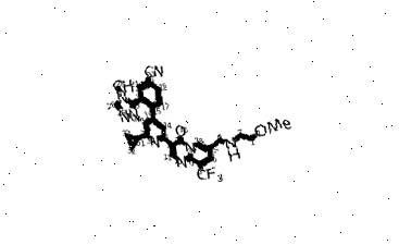 COCCNCc1cc(C(F)(F)F)c2ncc(-c3cc(-c4ccc(C#N)cc4-c4nncn4C)cc(C4CC4)n3)c(=O)n2c1